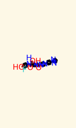 O=C(CN1CC[C@@](CO)(C(=O)Nc2ccc(O)c(F)c2)C1)N1CCN(c2ccc(-c3ncccn3)cc2)CC1